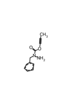 CC#COC(=O)N(N)Cc1ccccc1